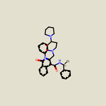 CC[C@H](NC(=O)c1c(CN2CCC(N3CCCCC3)CC2)n(-c2ccccc2)c(=O)c2ccccc12)c1ccccc1